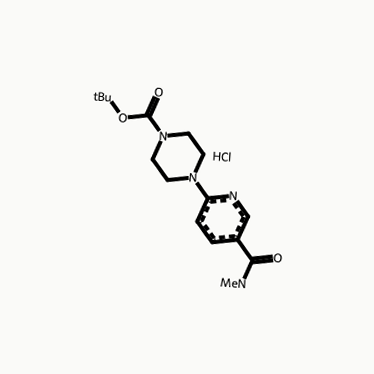 CNC(=O)c1ccc(N2CCN(C(=O)OC(C)(C)C)CC2)nc1.Cl